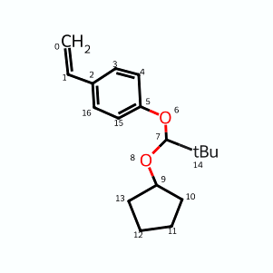 C=Cc1ccc(OC(OC2CCCC2)C(C)(C)C)cc1